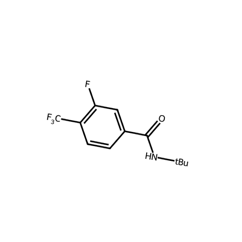 CC(C)(C)NC(=O)c1ccc(C(F)(F)F)c(F)c1